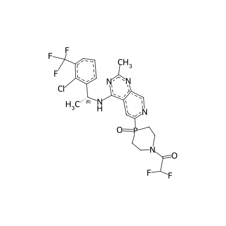 Cc1nc(N[C@H](C)c2cccc(C(F)(F)F)c2Cl)c2cc(P3(=O)CCN(C(=O)C(F)F)CC3)ncc2n1